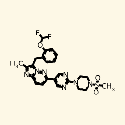 Cc1nc2ccc(-c3cnc(N4CCN(S(C)(=O)=O)CC4)nc3)nn2c1Cc1ccccc1OC(F)F